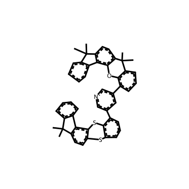 CC1(C)c2cccc(-c3cncc(-c4cccc5c4Sc4c(ccc6c4-c4ccccc4C6(C)C)S5)c3)c2Oc2c1ccc1c2-c2ccccc2C1(C)C